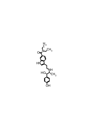 CCN(CC)C(=O)c1ccc2c(CCN[C@@H](C)[C@H](O)c3ccc(O)cc3)c[nH]c2c1